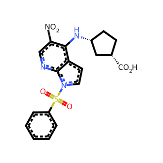 O=C(O)[C@H]1CC[C@@H](Nc2c([N+](=O)[O-])cnc3c2ccn3S(=O)(=O)c2ccccc2)C1